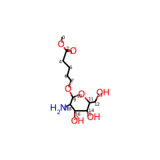 COC(=O)CCCCOC1OC(CO)C(O)C(O)C1N